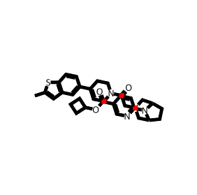 Cc1cc2cc(C3=CCN(C(=O)CN4CC5CCC(C4)N5c4ccc(C(=O)OC5CCC5)cn4)CC3)ccc2s1